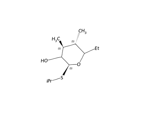 CCC1O[C@@H](SC(C)C)C(O)[C@@H](C)[C@@H]1C